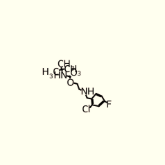 CC(C)(C)NC(=O)OCCNCc1ccc(F)cc1Cl